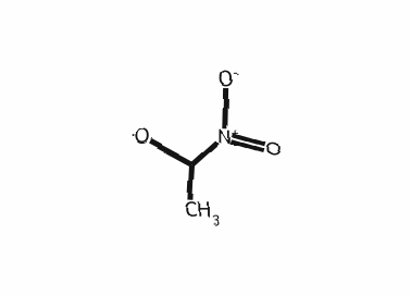 CC([O])[N+](=O)[O-]